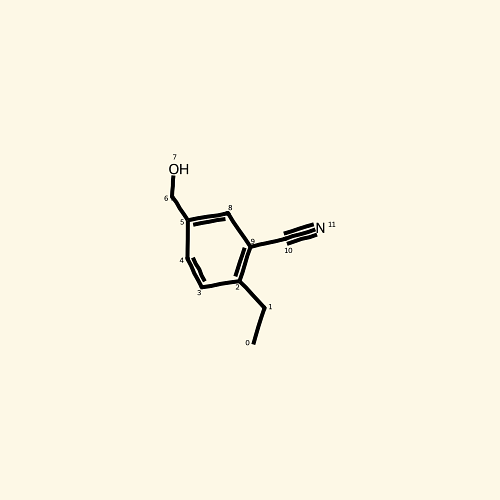 CCc1ccc([CH]O)cc1C#N